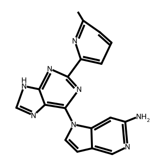 Cc1cccc(-c2nc(-n3ccc4cnc(N)cc43)c3nc[nH]c3n2)n1